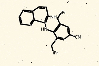 CC(C)Cc1cc(C#N)cc(CC(C)C)c1Nc1c(N)ccc2ccccc12